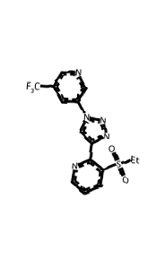 CCS(=O)(=O)c1cccnc1-c1cn(-c2cncc(C(F)(F)F)c2)nn1